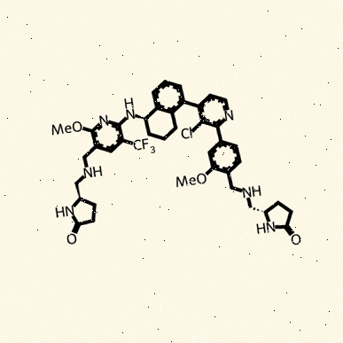 COc1cc(-c2nccc(-c3cccc4c3CCC[C@H]4Nc3nc(OC)c(CNC[C@H]4CCC(=O)N4)cc3C(F)(F)F)c2Cl)ccc1CNC[C@@H]1CCC(=O)N1